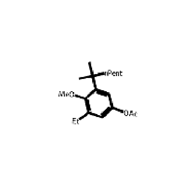 CCCCCC(C)(C)c1cc(OC(C)=O)cc(CC)c1OC